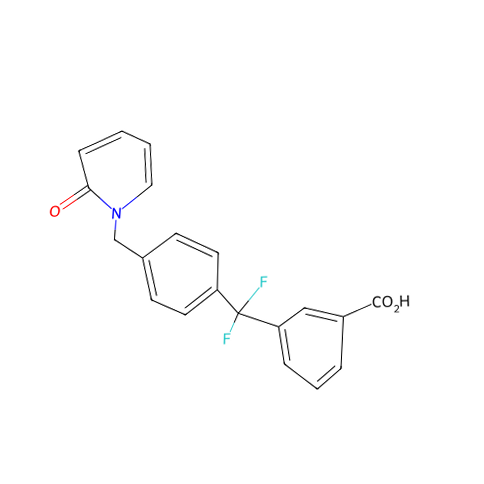 O=C(O)c1cccc(C(F)(F)c2ccc(Cn3ccccc3=O)cc2)c1